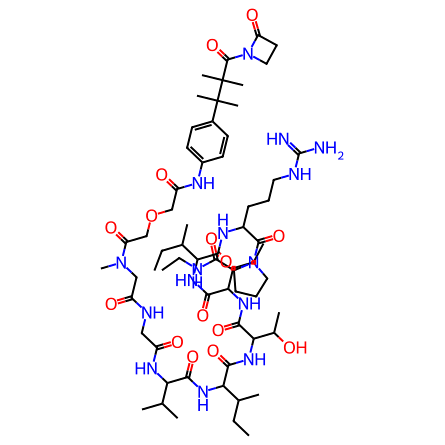 CCCC(NC(=O)C(NC(=O)C(NC(=O)C(NC(=O)CNC(=O)CN(C)C(=O)COCC(=O)Nc1ccc(C(C)(C)C(C)(C)C(=O)N2CCC2=O)cc1)C(C)C)C(C)CC)C(C)O)C(=O)NC(C(=O)NC(CCCNC(=N)N)C(=O)N1CCCC1C(=O)NCC)C(C)CC